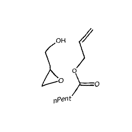 C=CCOC(=O)CCCCC.OCC1CO1